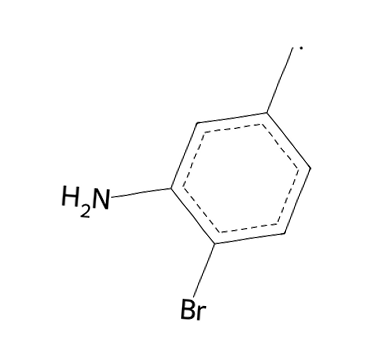 [CH2]c1ccc(Br)c(N)c1